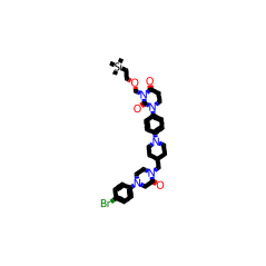 C[Si](C)(C)CCOCN1C(=O)CCN(c2ccc(N3CCC(CN4CCN(c5ccc(Br)cc5)CC4=O)CC3)cc2)C1=O